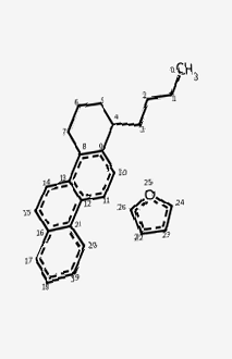 CCCCC1CCCc2c1ccc1c2ccc2ccccc21.c1ccoc1